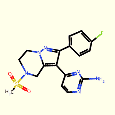 CS(=O)(=O)N1CCn2nc(-c3ccc(F)cc3)c(-c3ccnc(N)n3)c2C1